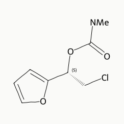 CNC(=O)O[C@H](CCl)c1ccco1